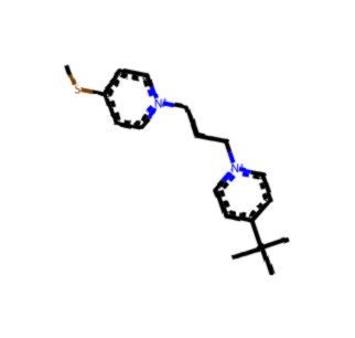 CSc1cc[n+](CCC[n+]2ccc(C(C)(C)C)cc2)cc1